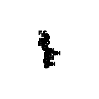 C[C@H](CO)Nc1nc(Nc2cccc(S(C)(=N)=O)c2)ncc1-c1ccc(NC(=O)Nc2cccc(C(F)(F)F)c2)cc1